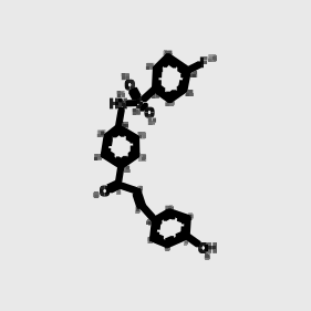 O=C(C=Cc1ccc(O)cc1)c1ccc(NS(=O)(=O)c2ccc(F)cc2)cc1